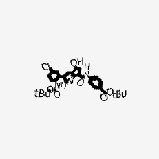 CC(C)(C)OC(=O)Nc1ccc(Cl)cc1-c1cnc2c(c1)C(O)CC2C(=O)Nc1ccc(C(=O)OC(C)(C)C)cc1